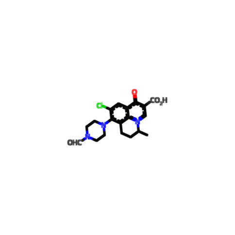 CC1CCc2c(N3CCN(C=O)CC3)c(Cl)cc3c(=O)c(C(=O)O)cn1c23